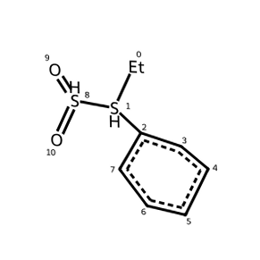 CC[SH](c1ccccc1)[SH](=O)=O